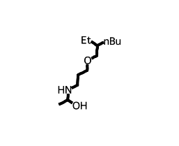 CCCCC(CC)COCCCNC(C)O